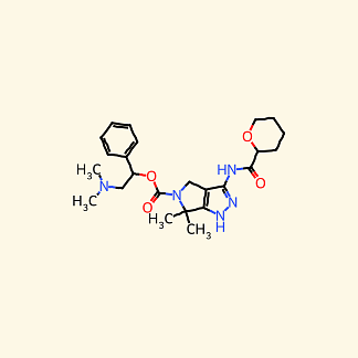 CN(C)CC(OC(=O)N1Cc2c(NC(=O)C3CCCCO3)n[nH]c2C1(C)C)c1ccccc1